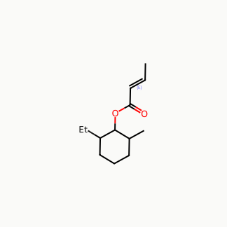 C/C=C/C(=O)OC1C(C)CCCC1CC